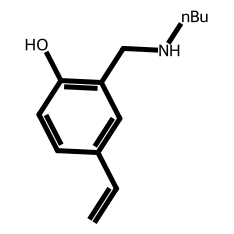 C=Cc1ccc(O)c(CNCCCC)c1